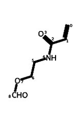 C=CC(=O)NCCOC=O